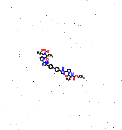 CCOC(=O)N[C@@H](C)C(=O)N1CCCC1c1ncc(-c2ccc(-c3ccc(-c4cnc([C@@H]5CCCN5C(=O)[C@@H](C)N(CC)C(=O)O)[nH]4)cc3)cc2)[nH]1